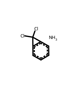 ClC1(Cl)c2ccccc21.N